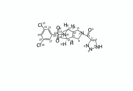 O=C(c1c[nH]nn1)N1C[C@@H]2[C@H](C1)[C@@H]1CC[C@H]2N1S(=O)(=O)c1cc(Cl)cc(Cl)c1